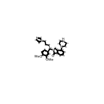 COc1ccc([C@@H](CCCn2ccnc2)N2Cc3c(cccc3N3CCNCC3)C2=O)cc1OC